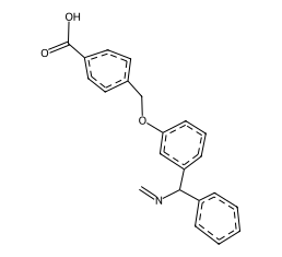 C=NC(c1ccccc1)c1cccc(OCc2ccc(C(=O)O)cc2)c1